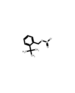 CC(C)(C)c1ccccc1CO[N+](=O)[O-]